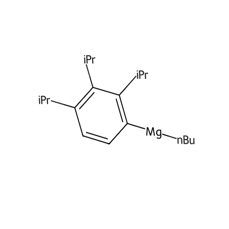 CCC[CH2][Mg][c]1ccc(C(C)C)c(C(C)C)c1C(C)C